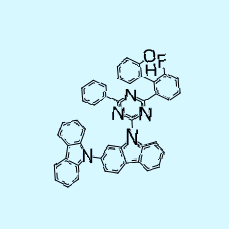 Oc1ccccc1-c1c(F)cccc1-c1nc(-c2ccccc2)nc(-n2c3ccccc3c3ccc(-n4c5ccccc5c5ccccc54)cc32)n1